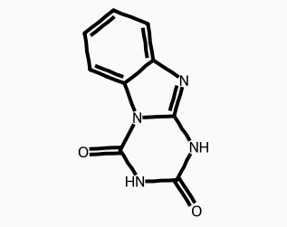 O=c1[nH]c(=O)n2c(nc3ccccc32)[nH]1